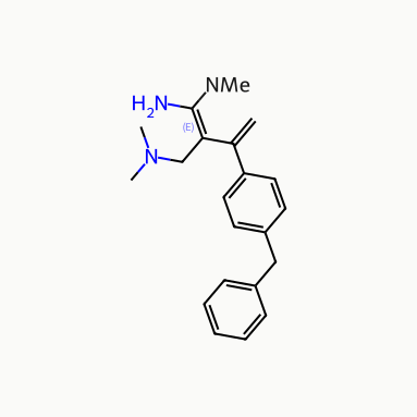 C=C(/C(CN(C)C)=C(/N)NC)c1ccc(Cc2ccccc2)cc1